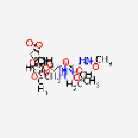 CC(=O)NCCCC[C@H](NC(=O)OC(C)(C)C)C(=O)NCCC(=O)O[C@@H]1C2(C(C)C)OC2[C@@H]2O[C@]23[C@]12O[C@H]2CC1C2=C(CC[C@@]13C)C(=O)OC2